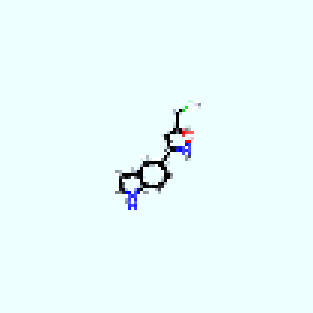 ClCc1cc(-c2ccc3[nH]ccc3c2)no1